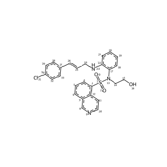 O=S(=O)(c1cccc2cnccc12)N(CCO)c1ccccc1NCC=Cc1ccc(Cl)cc1